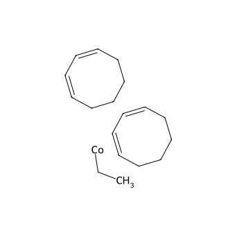 C1=CCCCCC=C1.C1=CCCCCC=C1.C[CH2][Co]